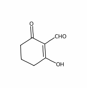 O=CC1=C(O)CCCC1=O